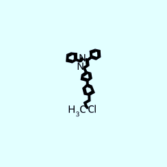 CC(Cl)CCc1ccc(-c2ccc(-c3cc(-c4ccccc4)nc(-c4ccccc4)n3)cc2)cc1